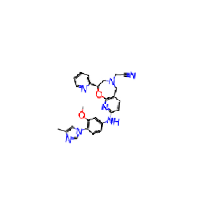 COc1cc(Nc2ccc3c(n2)OC(c2ccccn2)CN(CC#N)C3)ccc1-n1cnc(C)c1